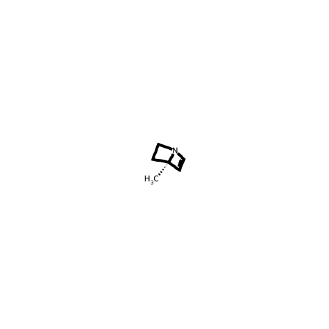 C[C@@]12C=CN1CC2